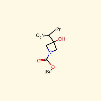 CC(C)C([N+](=O)[O-])C1(O)CN(C(=O)OC(C)(C)C)C1